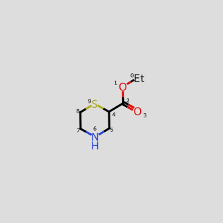 CCOC(=O)C1CNCCS1